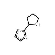 c1csc(C2CCCN2)c1